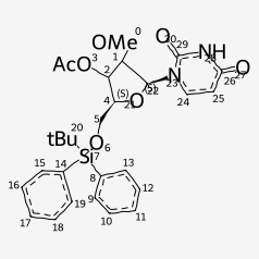 COC1C(OC(C)=O)[C@H](CO[Si](c2ccccc2)(c2ccccc2)C(C)(C)C)O[C@@H]1n1ccc(=O)[nH]c1=O